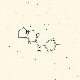 Cc1ccc(NC(=O)N=C2CCCN2C)cc1